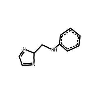 C1=NC(CNc2ccccc2)N=C1